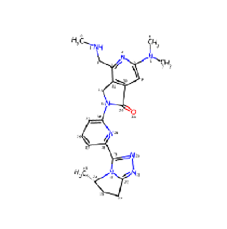 CNCc1nc(N(C)C)cc2c1CN(c1cccc(-c3nnc4n3[C@@H](C)CC4)n1)C2=O